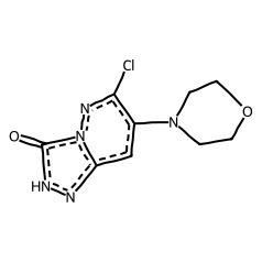 O=c1[nH]nc2cc(N3CCOCC3)c(Cl)nn12